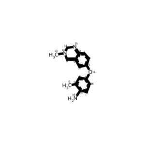 Cc1cc(Oc2ccc3c(c2)=CN(C)CN=3)ccc1N